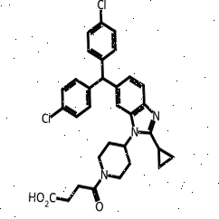 O=C(O)CCC(=O)N1CCC(n2c(C3CC3)nc3ccc(C(c4ccc(Cl)cc4)c4ccc(Cl)cc4)cc32)CC1